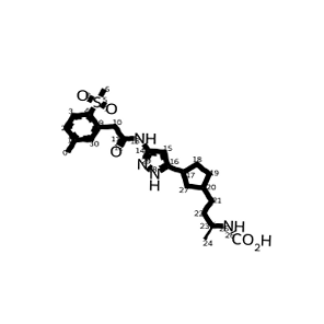 Cc1ccc(S(C)(=O)=O)c(CC(=O)Nc2cc(C3CCC(CC[C@H](C)NC(=O)O)C3)[nH]n2)c1